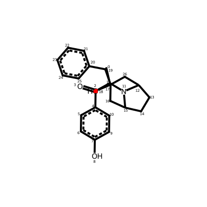 CC(C(=O)c1ccc(O)cc1)N1C2CCC1CC(O)(Cc1ccccc1)C2